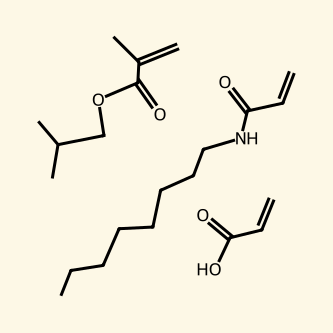 C=C(C)C(=O)OCC(C)C.C=CC(=O)NCCCCCCCC.C=CC(=O)O